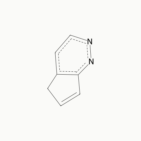 C1=Cc2nnccc2C1